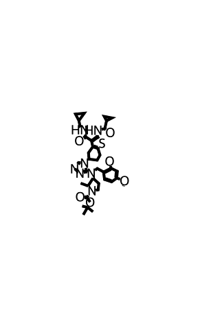 COc1ccc(CN(c2nncn2[C@H]2CCc3sc(NC(=O)C4CC4)c(C(=O)NCC4CC4)c3C2)C2CCN(C(=O)OC(C)(C)C)C2C)c(OC)c1